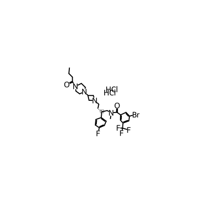 CCCC(=O)N1CCN(C2CN(CC[C@H](CN(C)C(=O)c3cc(Br)cc(C(F)(F)F)c3)c3ccc(F)cc3)C2)CC1.Cl.Cl